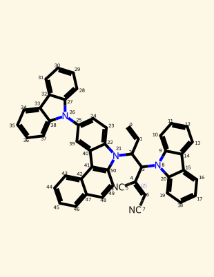 C=CC(C(/C(C#N)=C/C#N)n1c2ccccc2c2ccccc21)n1c2ccc(-n3c4ccccc4c4ccccc43)cc2c2c3ccccc3ccc21